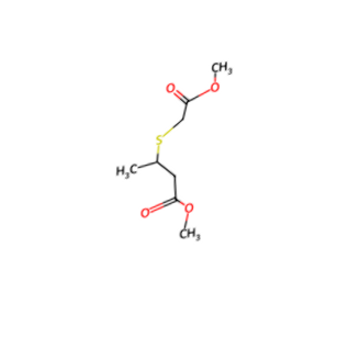 COC(=O)CSC(C)CC(=O)OC